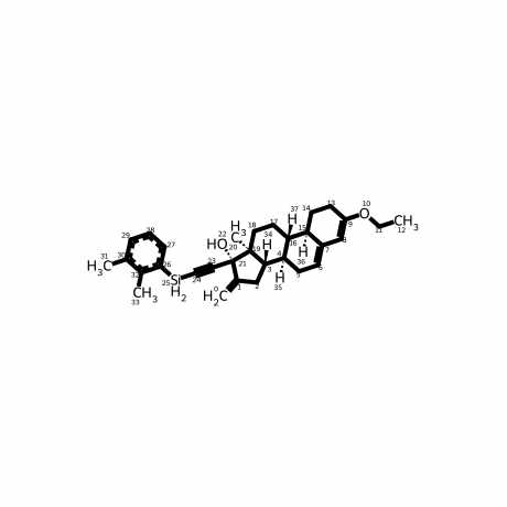 C=C1C[C@H]2[C@@H]3CC=C4C=C(OCC)CC[C@@H]4[C@H]3CC[C@]2(C)[C@]1(O)C#C[SiH2]c1cccc(C)c1C